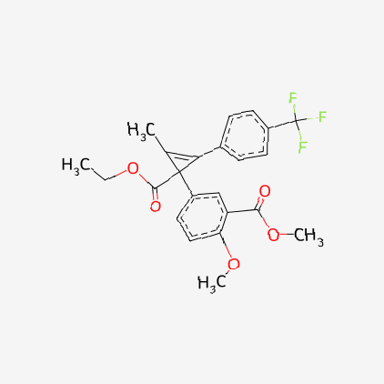 CCOC(=O)C1(c2ccc(OC)c(C(=O)OC)c2)C(C)=C1c1ccc(C(F)(F)F)cc1